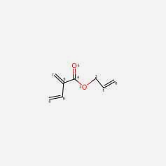 C=CCOC(=O)C(=C)C=C